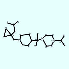 CC(C)CC1(CN2CCC(C(C)(C)N3CCN(C(C)C)CC3)CC2)CC1